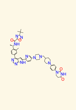 Cc1cc(-c2ncnc3[nH]c(-c4ccc(N5CCN(CC6CCN(c7ccc(N8CCC(=O)NC8=O)cc7)CC6)CC5)cn4)cc23)ccc1[C@@H](C)NC(=O)c1nc(C(C)(C)C)no1